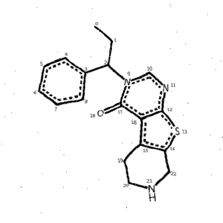 CCC(c1ccccc1)n1cnc2sc3c(c2c1=O)CCNC3